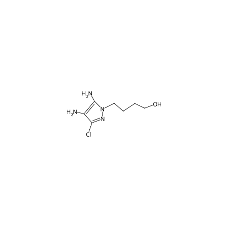 Nc1c(Cl)nn(CCCCO)c1N